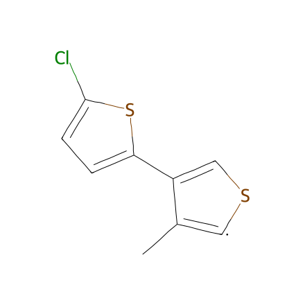 Cc1[c]scc1-c1ccc(Cl)s1